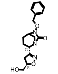 O=C1N(OCc2ccccc2)C2CC[C@@H](C3=NO[C@@H](CO)C3)N1C2